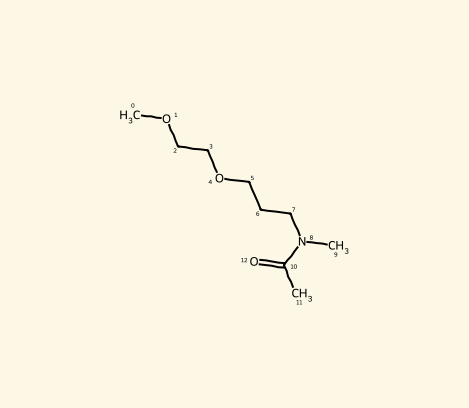 COCCOCCCN(C)C(C)=O